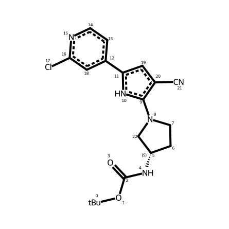 CC(C)(C)OC(=O)N[C@H]1CCN(c2[nH]c(-c3ccnc(Cl)c3)cc2C#N)C1